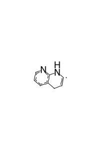 [C]1=CCc2cccnc2N1